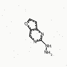 NNc1ncc2occc2n1